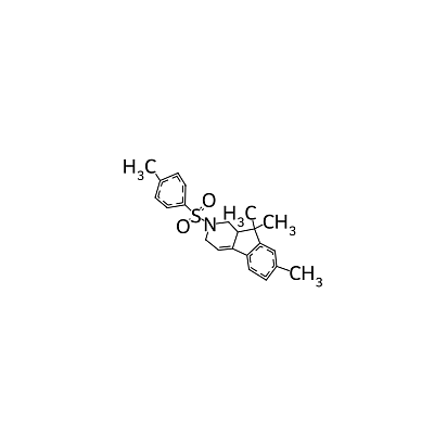 Cc1ccc(S(=O)(=O)N2CC=C3c4ccc(C)cc4C(C)(C)C3C2)cc1